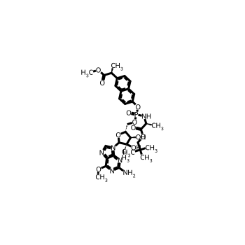 COC(=O)[C@@H](C)c1ccc2cc(OP(=O)(N[C@@H](C)C(=O)OCC(C)(C)C)OC[C@H]3OC(n4cnc5c(OC)nc(N)nc54)[C@](C)(O)[C@@H]3O)ccc2c1